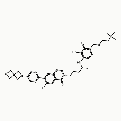 C[C@@H](CCCn1ccc2cc(-c3ncc(N4CC5(COC5)C4)cn3)c(F)cc2c1=O)Nc1cnn(COCC[Si](C)(C)C)c(=O)c1C(F)(F)F